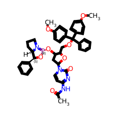 COc1ccc(C(OCC2OC(n3ccc(NC(C)=O)nc3=O)CC2O[P@]2O[C@@H](c3ccccc3)[C@H]3CCCN32)(c2ccccc2)c2ccc(OC)cc2)cc1